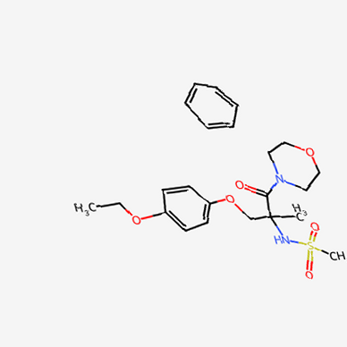 CCOc1ccc(OCC(C)(NS(C)(=O)=O)C(=O)N2CCOCC2)cc1.c1ccccc1